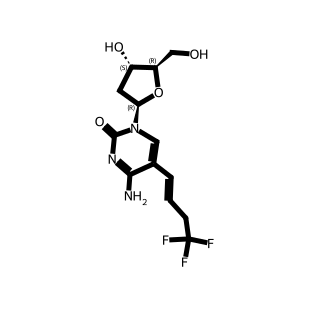 Nc1nc(=O)n([C@H]2C[C@H](O)[C@@H](CO)O2)cc1C=CCC(F)(F)F